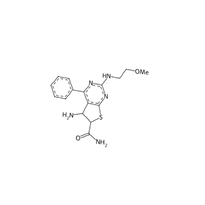 COCCNc1nc2c(c(-c3ccccc3)n1)C(N)C(C(N)=O)S2